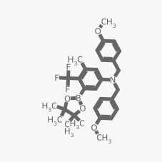 COc1ccc(CN(Cc2ccc(OC)cc2)c2cc(C)c(C(F)(F)F)c(B3OC(C)(C)C(C)(C)O3)c2)cc1